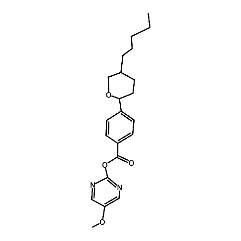 CCCCCC1CCC(c2ccc(C(=O)Oc3ncc(OC)cn3)cc2)OC1